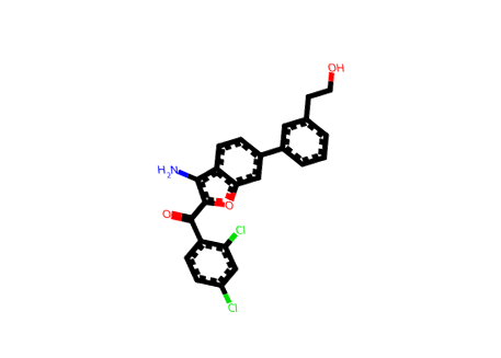 Nc1c(C(=O)c2ccc(Cl)cc2Cl)oc2cc(-c3cccc(CCO)c3)ccc12